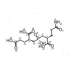 NC(=O)CC[C@H](CP(=O)(O)C[C@@H](CCC(=O)O)C(=O)O)C(=O)O